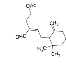 C=C1CCCC(C)(C)C1C/C=C(\C=O)CCOC(C)=O